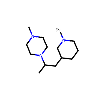 CC(C)N1CCCC(CC(C)N2CCN(C)CC2)C1